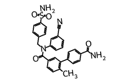 Cc1ccc(C(=O)N(Cc2ccc(S(N)(=O)=O)cc2)c2cccc(C#N)c2)cc1-c1ccc(C(N)=O)cc1